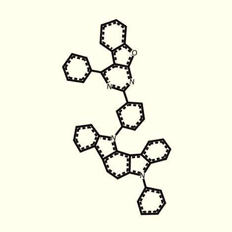 c1ccc(-c2nc(-c3cccc(-n4c5ccccc5c5ccc6c(c7ccccc7n6-c6ccccc6)c54)c3)nc3oc4ccccc4c23)cc1